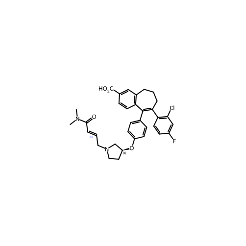 CN(C)C(=O)/C=C/CN1CC[C@H](Oc2ccc(C3=C(c4ccc(F)cc4Cl)CCCc4cc(C(=O)O)ccc43)cc2)C1